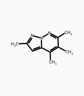 Cc1cc2c(C)c(C)c(C)nn2n1